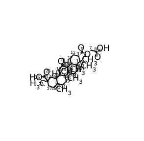 CC1(C)[C@@H](C(=O)OCC(=O)O)CC[C@]2(C)[C@H]3C(=O)C=C4[C@@H]5C[C@@](C)(C(=O)O)CC[C@]5(C)CC[C@@]4(C)[C@]3(C)CC[C@@H]12